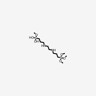 CO[Si](O)(O)CCCNCCNCCC[Si](OC)(OC)OC